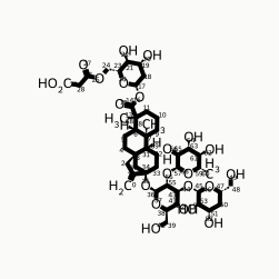 C=C1C[C@@]23CC[C@H]4[C@@](C)(CCC[C@@]4(C)C(=O)O[C@H]4C[C@@H](O)[C@H](O)[C@@H](COC(=O)CC(=O)O)O4)[C@@H]2CC[C@@]1(O[C@@H]1O[C@H](CO)[C@@H](O)[C@H](O[C@@H]2O[C@H](CO)C[C@H](O)[C@H]2O)[C@H]1O[C@@H]1O[C@@H](C)[C@H](O)[C@@H](O)C1O)C3